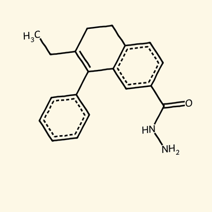 CCC1=C(c2ccccc2)c2cc(C(=O)NN)ccc2CC1